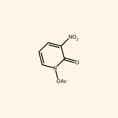 CC(=O)On1cccc([N+](=O)[O-])c1=O